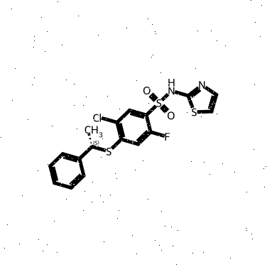 C[C@H](Sc1cc(F)c(S(=O)(=O)Nc2nccs2)cc1Cl)c1ccccc1